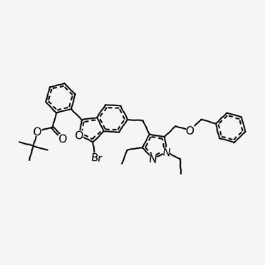 CCc1nn(CC)c(COCc2ccccc2)c1Cc1ccc2c(-c3ccccc3C(=O)OC(C)(C)C)oc(Br)c2c1